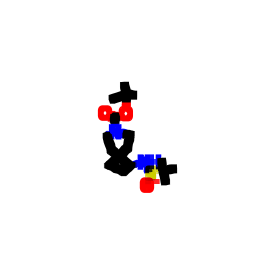 CC(C)(C)OC(=O)N1CCC2(CC[C@@H]2N[S@@+]([O-])C(C)(C)C)CC1